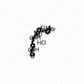 Cc1nc2c(OCc3c(Cl)ccc(N(C)C(=O)CNC(=O)/C=C/c4ccc(NC(=O)N5CCOCC5)cc4)c3Cl)cccn2c1Br.Cl